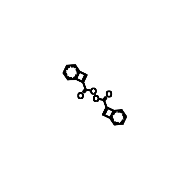 O=C(OOC(=O)C1=Cc2ccccc21)C1=Cc2ccccc21